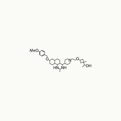 COc1ccc(COC2CCC3C(CCC4C(C5CCN(CCOC6CC(C)(C(C)O)C6)CC5)NC(C)NC34)C2)cc1